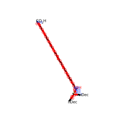 CCCCCCCCCCCCCCCC(=O)OCC[C@H](CSC[C@H](N)C(=O)N[C@@H](CO)C(=O)NCCOCCOCCOCCOCCOCCOCCOCCOCCOCCOCCOCCOCCOCCOCCOCCOCCOCCOCCOCCOCCOCCOCCOCCOCCOCCOCCOCCOCCC(=O)NCC(=O)O)OC(=O)CCCCCCCCCCCCCCC